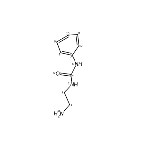 NCCNC(=O)Nc1ccccc1